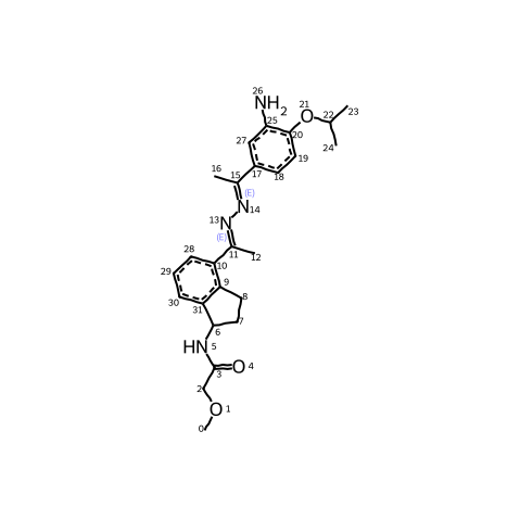 COCC(=O)NC1CCc2c(/C(C)=N/N=C(\C)c3ccc(OC(C)C)c(N)c3)cccc21